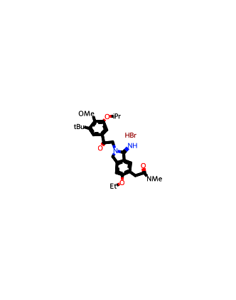 Br.CCOc1cc2c(cc1CC(=O)NC)C(=N)N(CC(=O)c1cc(OC(C)C)c(OC)c(C(C)(C)C)c1)C2